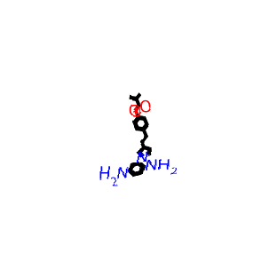 C=C(C)C(=O)Oc1ccc(CCc2ccn(-c3cc(N)ccc3N)c2)cc1